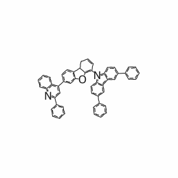 C1=CC(n2c3ccc(-c4ccccc4)cc3c3cc(-c4ccccc4)ccc32)=C2Oc3cc(-c4cc(-c5ccccc5)nc5ccccc45)ccc3C2C1